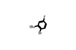 CC(C)(C)c1cc(F)ccc1Br